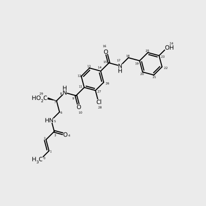 CC=CC(=O)NC[C@H](NC(=O)c1ccc(C(=O)NCc2cccc(O)c2)cc1Cl)C(=O)O